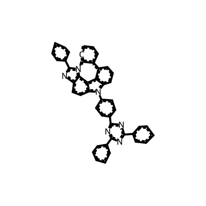 c1ccc(-c2nc(-c3ccccc3)nc(-c3ccc(-n4c5cccc6c7ccccc7n7c(-c8ccccc8)nc8ccc4c(c65)c87)cc3)n2)cc1